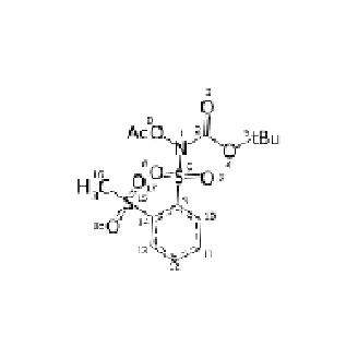 CC(=O)ON(C(=O)OC(C)(C)C)S(=O)(=O)c1ccccc1S(C)(=O)=O